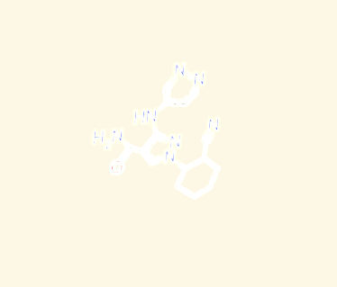 N#CC1CCCCC1n1cc(C(N)=O)c(Nc2ccnnc2)n1